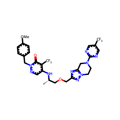 COc1ccc(Cn2ncc(N[C@@H](C)COCc3nc4n(n3)CCN(c3ncc(C(F)(F)F)cn3)C4)c(C(F)(F)F)c2=O)cc1